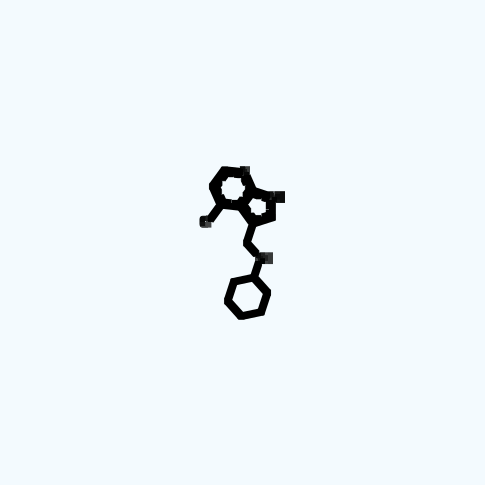 Clc1ccnc2[nH]cc(CNC3CCCCC3)c12